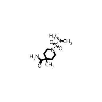 CN(C)S(=O)(=O)N1CCC(C)(C(N)=O)CC1